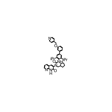 CC(C)c1cc(-c2cccc(OCc3ccncc3)c2)cc(C(C)C)c1NC(=O)N(CC1CCCC1)c1cc2cccnc2[nH]c1=O